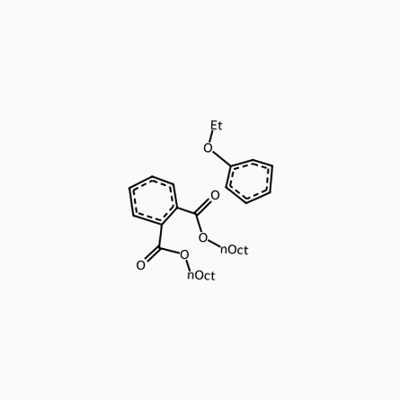 CCCCCCCCOC(=O)c1ccccc1C(=O)OCCCCCCCC.CCOc1ccccc1